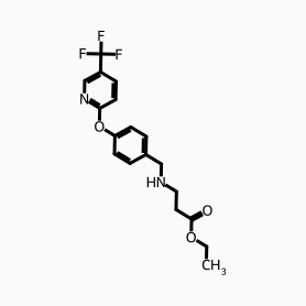 CCOC(=O)CCNCc1ccc(Oc2ccc(C(F)(F)F)cn2)cc1